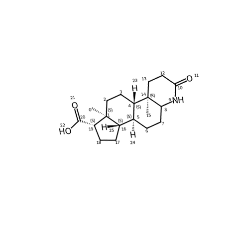 C[C@]12CC[C@H]3[C@@H](CCC4NC(=O)CC[C@@]43C)[C@@H]1CC[C@@H]2C(=O)O